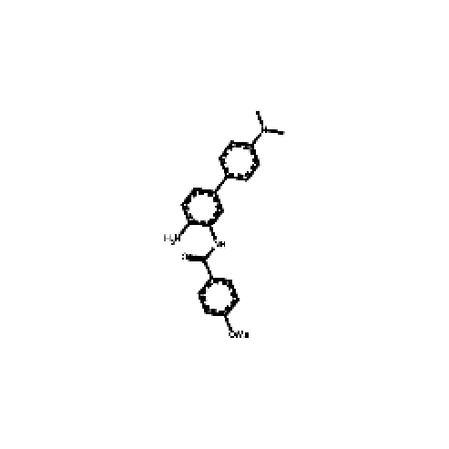 COc1ccc(C(=O)Nc2cc(-c3ccc(N(C)C)cc3)ccc2N)cc1